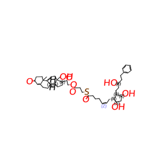 CC12CCC(=O)C=C1CC[C@@H]1C2=CCC2(C)[C@H]1CC[C@]2(O)C(=O)COC(=O)CCSC(=O)CCC/C=C\C[C@@H]1[C@@H](CC[C@@H](O)CCc2ccccc2)[C@H](O)C[C@@H]1O